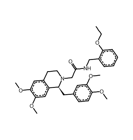 CCOc1ccccc1CNC(=O)CN1CCc2cc(OC)c(OC)cc2[C@@H]1Cc1ccc(OC)c(OC)c1